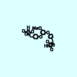 COc1cc(Oc2ccc(Cn3oc(=O)[nH]c3=O)cc2)cc(Oc2ccc(Cn3oc(=O)[nH]c3=O)cc2)c1